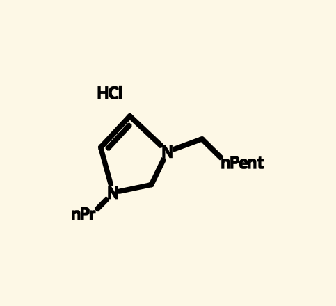 CCCCCCN1C=CN(CCC)C1.Cl